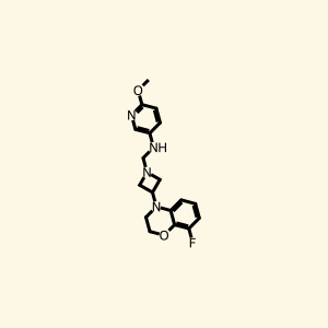 COc1ccc(NCN2CC(N3CCOc4c(F)cccc43)C2)cn1